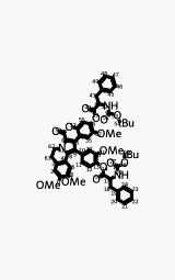 COc1cc2c(cc1OC)-c1c(-c3ccc(OC(=O)C(Cc4ccccc4)NC(=O)OC(C)(C)C)c(OC)c3)c3c4cc(OC)c(OC(=O)C(Cc5ccccc5)NC(=O)OC(C)(C)C)cc4oc(=O)c3n1CC2